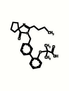 CCCCC1=NC2(CCCC2)C(=O)N1Cc1cccc(-c2ccccc2OC(C)(C)C(=O)O)c1